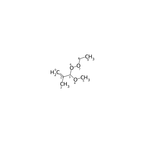 C=C(C)C(OC)OOCC